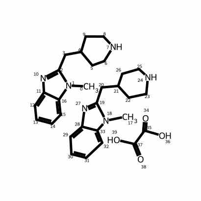 Cn1c(CC2CCNCC2)nc2ccccc21.Cn1c(CC2CCNCC2)nc2ccccc21.O=C(O)C(=O)O